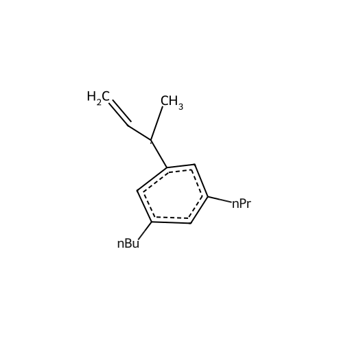 C=C[C](C)c1cc(CCC)cc(CCCC)c1